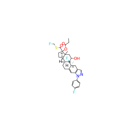 CCC(=O)O[C@]1(C(=O)SCF)CC[C@H]2[C@@H]3CCC4=Cc5c(cnn5-c5ccc(F)cc5)C[C@]4(C)[C@@]3(F)C(O)CC21C